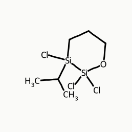 CC(C)[Si]1(Cl)CCCO[Si]1(Cl)Cl